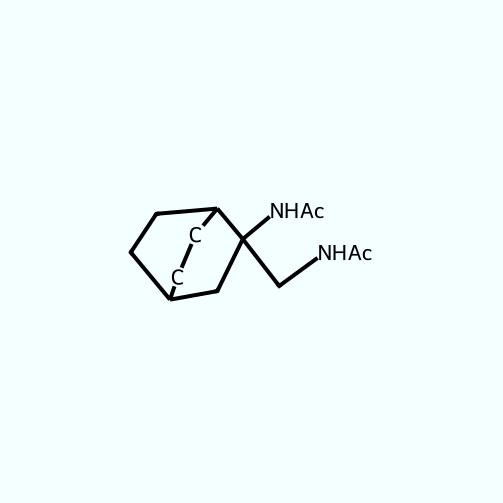 CC(=O)NCC1(NC(C)=O)CC2CCC1CC2